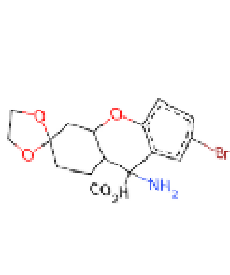 NC1(C(=O)O)c2cc(Br)ccc2OC2CC3(CCC21)OCCO3